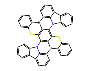 c1ccc2c(c1)Sc1c3c(c4c5c1-n1c6ccccc6c6cccc(c61)B5c1ccccc1S4)-n1c4ccccc4c4cccc(c41)B23